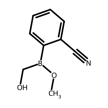 COB(CO)c1ccccc1C#N